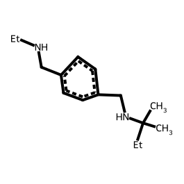 CCNCc1ccc(CNC(C)(C)CC)cc1